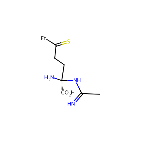 CCC(=S)CC[C@](N)(NC(C)=N)C(=O)O